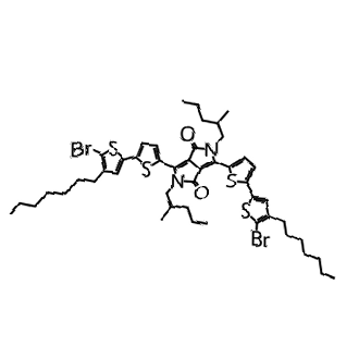 CCCCCCCc1cc(-c2ccc(C3=C4C(=O)N(CC(C)CCC)C(c5ccc(-c6cc(CCCCCCC)c(Br)s6)s5)=C4C(=O)N3CC(C)CCC)s2)sc1Br